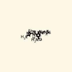 CCn1nc(C)cc1-c1nnc(-c2cc(C(N)=O)cc3c2cnn3CCN2CC(F)C2)[nH]1